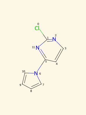 Clc1nccc(-n2cccc2)n1